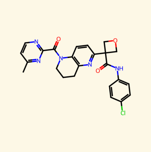 Cc1ccnc(C(=O)N2CCCc3nc(C4(C(=O)Nc5ccc(Cl)cc5)COC4)ccc32)n1